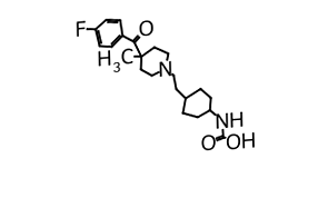 CC1(C(=O)c2ccc(F)cc2)CCN(CCC2CCC(NC(=O)O)CC2)CC1